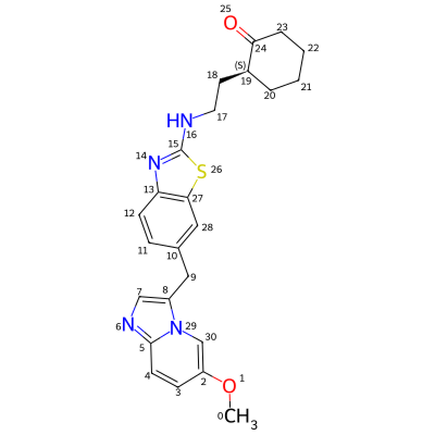 COc1ccc2ncc(Cc3ccc4nc(NCC[C@@H]5CCCCC5=O)sc4c3)n2c1